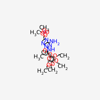 C=CCOC[C@H]1O[C@@H](O[C@@H](CC(C)C)C(=O)Nc2nc(N)c3nc(COP(=O)(OCC)OCC)cnc3n2)[C@H](OCC=C)[C@@H](OCC=C)[C@@H]1OCC=C